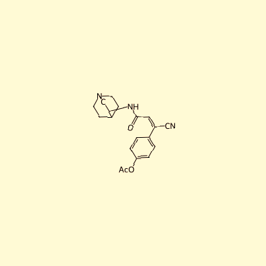 CC(=O)Oc1ccc(C(C#N)=CC(=O)NC2CN3CCC2CC3)cc1